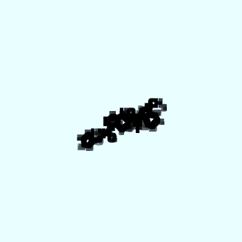 Cn1cc(C(O)(c2ccc3c(cnn3C(=O)NCC3CCCC3)c2)C(F)(F)F)c2ccccc21